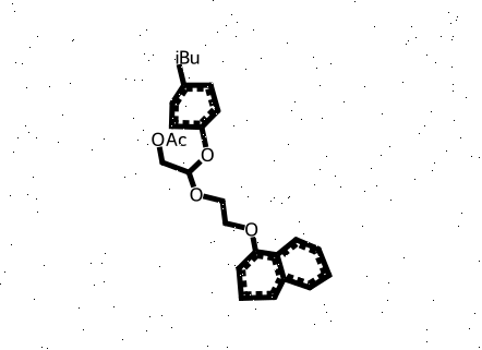 CCC(C)c1ccc(OC(COC(C)=O)OCCOc2cccc3ccccc23)cc1